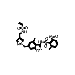 C=CS(=O)(=O)NCc1cnn(Cc2cc(C)c3c(NS(=O)(=O)c4c(C)cccc4OC)noc3c2)c1